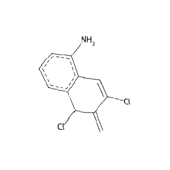 C=C1C(Cl)=Cc2c(N)cccc2C1Cl